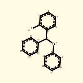 Fc1ccccc1C(Oc1c[c]ccc1)c1ccccc1